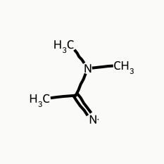 CC(=[N])N(C)C